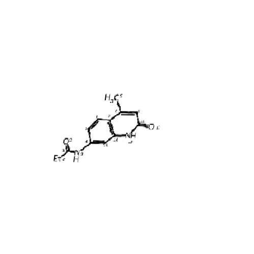 CCC(=O)Nc1ccc2c(C)cc(=O)[nH]c2c1